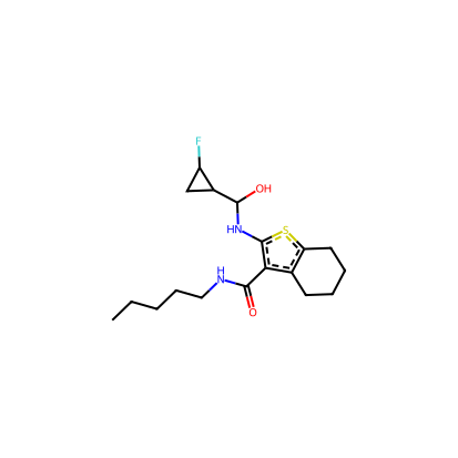 CCCCCNC(=O)c1c(NC(O)C2CC2F)sc2c1CCCC2